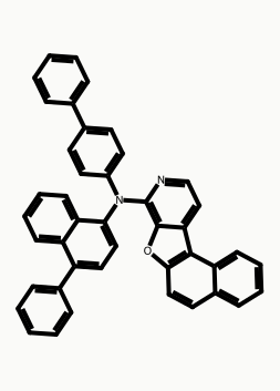 c1ccc(-c2ccc(N(c3ccc(-c4ccccc4)c4ccccc34)c3nccc4c3oc3ccc5ccccc5c34)cc2)cc1